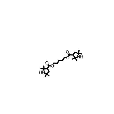 CC1(C)CC(C(=O)OCCCCCOC(=O)C2CC(C)(C)NC2(C)C)C(C)(C)N1